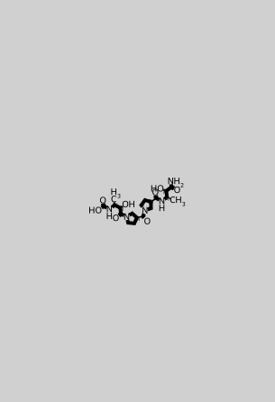 C[C@H](NC(=O)[C@@H]1CCN(C(=O)[C@H]2CCN(C(=O)[C@H](O)[C@H](C)NC(=O)O)C2)C1)[C@@H](O)C(N)=O